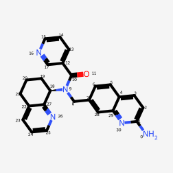 Nc1ccc2ccc(CN(C(=O)c3cccnc3)[C@@H]3CCCc4cccnc43)cc2n1